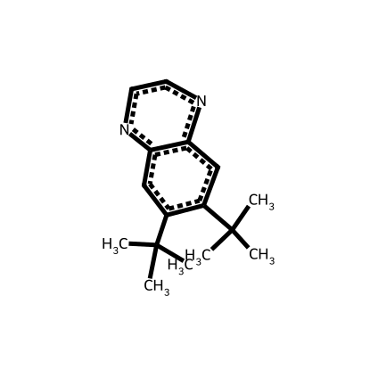 CC(C)(C)c1cc2nccnc2cc1C(C)(C)C